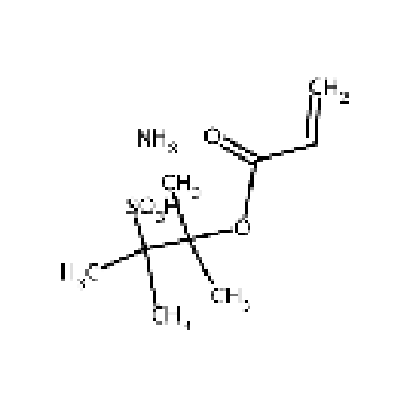 C=CC(=O)OC(C)(C)C(C)(C)S(=O)(=O)O.N